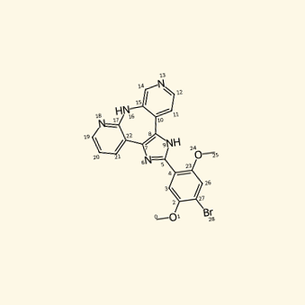 COc1cc(-c2nc3c([nH]2)-c2ccncc2Nc2ncccc2-3)c(OC)cc1Br